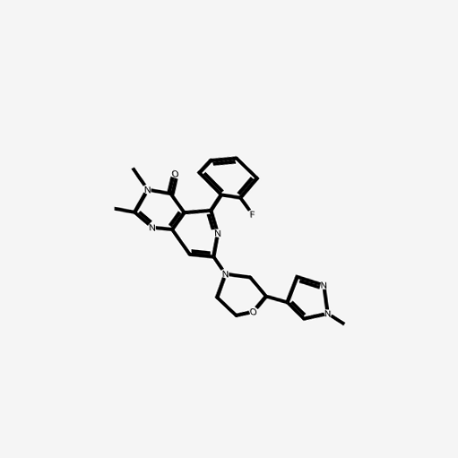 Cc1nc2cc(N3CCOC(c4cnn(C)c4)C3)nc(-c3ccccc3F)c2c(=O)n1C